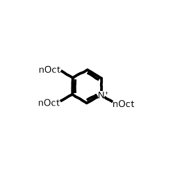 CCCCCCCCc1cc[n+](CCCCCCCC)cc1CCCCCCCC